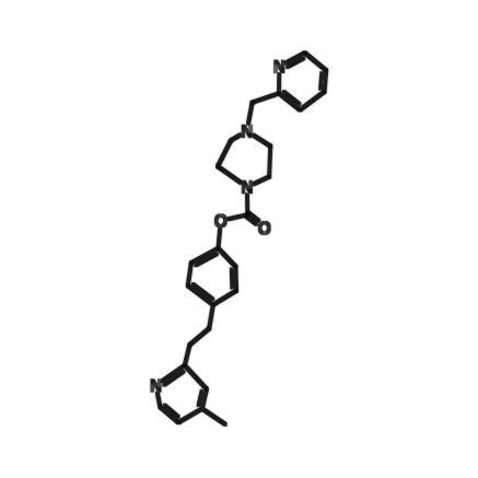 Cc1ccnc(CCc2ccc(OC(=O)N3CCN(Cc4ccccn4)CC3)cc2)c1